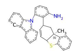 C[C@@]12CC(c3c(N)cccc3-n3c4ccccc4c4ccccc43)C=CC1Sc1ccccc12